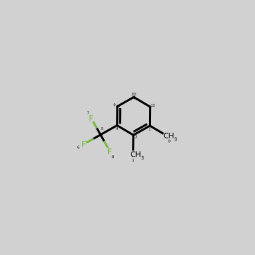 CC1=C(C)C(C(F)(F)F)=[C][C]C1